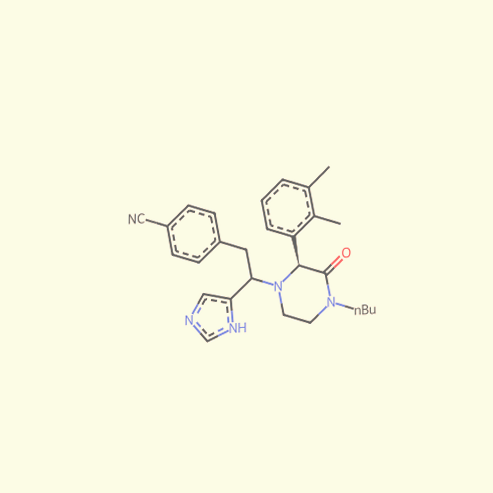 CCCCN1CCN(C(Cc2ccc(C#N)cc2)c2cnc[nH]2)[C@@H](c2cccc(C)c2C)C1=O